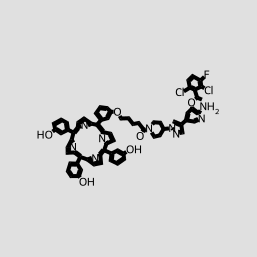 CC(Oc1cc(-c2cnn(C3CCN(C(=O)CCCCOc4cccc(C5=C6C=CC(=N6)C(c6cccc(O)c6)=C6C=CC(=N6)C(c6cccc(O)c6)=C6C=CC(=N6)C(c6cccc(O)c6)=C6C=CC5=N6)c4)CC3)c2)cnc1N)c1c(Cl)ccc(F)c1Cl